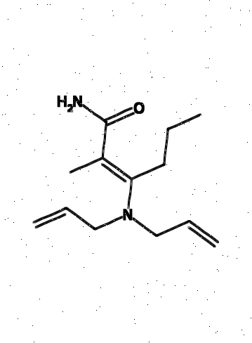 C=CCN(CC=C)C(CCC)=C(C)C(N)=O